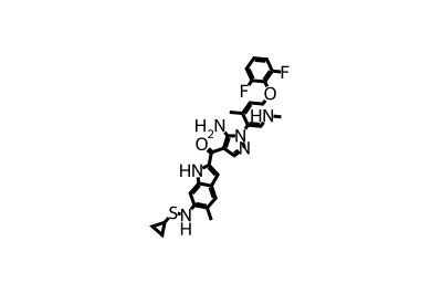 CN/C=C(\C(C)=C/COc1c(F)cccc1F)n1ncc(C(=O)c2cc3cc(C)c(NSC4CC4)cc3[nH]2)c1N